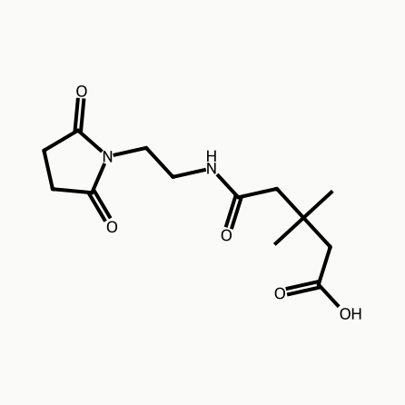 CC(C)(CC(=O)O)CC(=O)NCCN1C(=O)CCC1=O